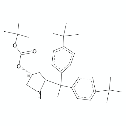 CC(C)(C)OC(=O)O[C@H]1CNC(C(C)(c2ccc(C(C)(C)C)cc2)c2ccc(C(C)(C)C)cc2)C1